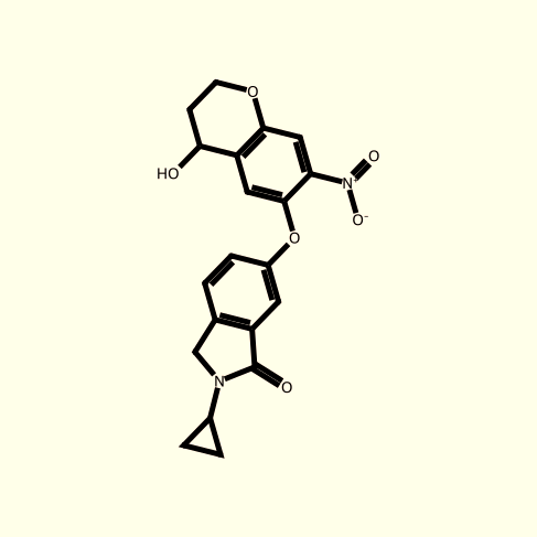 O=C1c2cc(Oc3cc4c(cc3[N+](=O)[O-])OCCC4O)ccc2CN1C1CC1